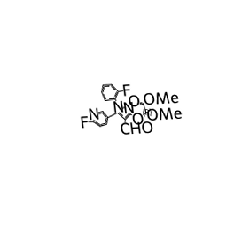 COC(=O)[C@H](OC)Oc1nn(-c2ccccc2F)c(-c2ccc(F)nc2)c1C=O